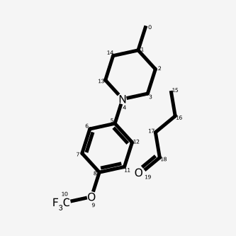 CC1CCN(c2ccc(OC(F)(F)F)cc2)CC1.CCCC=O